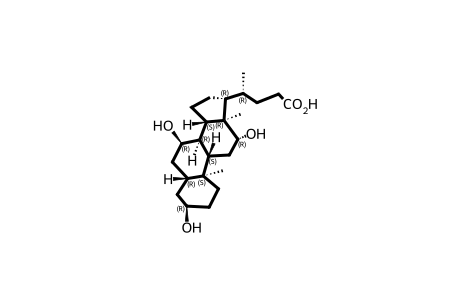 C[C@H](CCC(=O)O)[C@H]1CC[C@H]2[C@@H]3[C@H](O)C[C@H]4C[C@H](O)CC[C@]4(C)[C@H]3C[C@@H](O)[C@]12C